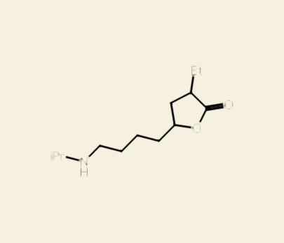 CCC1CC(CCCCNC(C)C)OC1=O